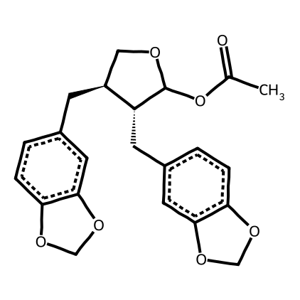 CC(=O)OC1OC[C@H](Cc2ccc3c(c2)OCO3)[C@H]1Cc1ccc2c(c1)OCO2